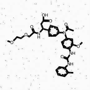 COCCOCC(=O)NC(CC(=O)O)c1ccc(N(C(C)=O)c2ccc(NC(=O)Nc3ccccc3C)c(OC)c2)cc1